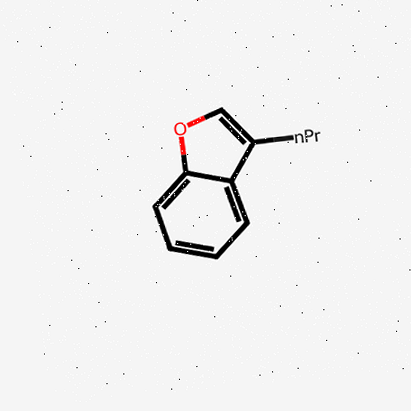 CCCc1coc2ccccc12